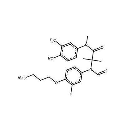 CSCCCOc1ccc(N(C=S)C(C)(C)C(=O)N(C)c2ccc(C#N)c(C(F)(F)F)c2)cc1F